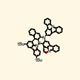 CC(C)(C)c1ccc2c(c1)c1cc(C(C)(C)C)cc3c1n2B1c2c(cc4ccccc4c2-3)N(c2cc3c4ccccc4n4c5ccccc5c(c2)c34)c2cc3c4ccccc4n4c5ccccc5c(c21)c34